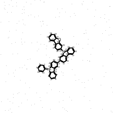 c1ccc(-n2c3ccccc3c3cc(-c4ccc5c6ccccc6n(-c6ccc7c(c6)oc6ccccc67)c5c4)ccc32)cc1